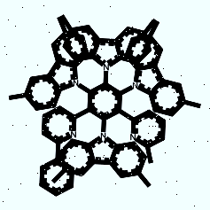 Cc1ccc2c(c1)c1cc(C)ccc1n2-c1c(-c2cccc(C)n2)c(-n2c3ccc(C)cc3c3cc(C)ccc32)c(-n2c3ccc(C)cc3c3cc(C)ccc32)c(-n2c3ccc(C)cc3c3cc(C)ccc32)c1-c1cccc(-c2ccccc2)n1